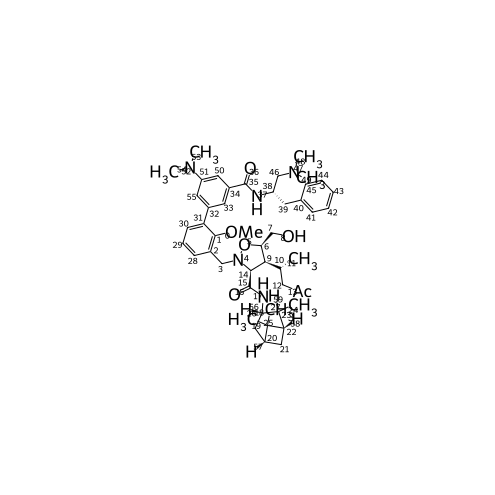 COc1c(CN2O[C@@H](CO)[C@@H]([C@H](C)CC(C)=O)[C@H]2C(=O)N[C@H]2C[C@H]3C[C@@H]([C@@H]2C)C3(C)C)cccc1-c1cc(C(=O)N[C@@H](Cc2ccccc2)CN(C)C)cc(N(C)C)c1